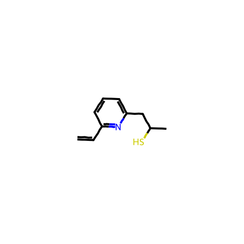 C=Cc1cccc(CC(C)S)n1